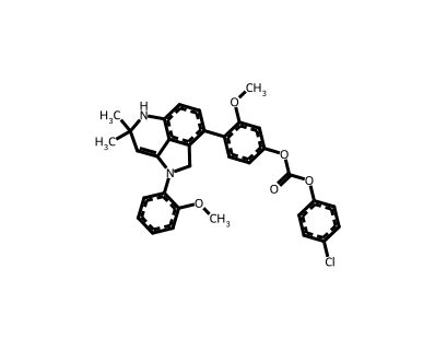 COc1cc(OC(=O)Oc2ccc(Cl)cc2)ccc1-c1ccc2c3c1CN(c1ccccc1OC)C3=CC(C)(C)N2